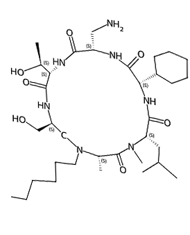 CCCCCCN1C[C@@H](CO)NC(=O)[C@H]([C@H](C)O)NC(=O)[C@H](CN)NC(=O)[C@H](C2CCCCC2)NC(=O)[C@H](CC(C)C)N(C)C(=O)[C@@H]1C